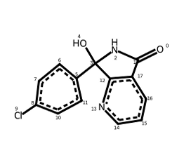 O=C1NC(O)(c2ccc(Cl)cc2)c2ncccc21